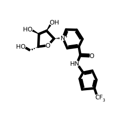 O=C(Nc1ccc(C(F)(F)F)cc1)c1ccc[n+]([C@@H]2O[C@H](CO)[C@@H](O)[C@H]2O)c1